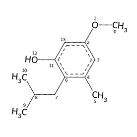 COc1cc(C)c(CC(C)C)c(O)c1